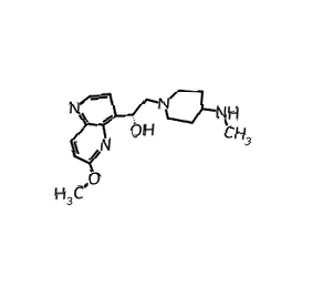 CNC1CCN(C[C@H](O)c2ccnc3ccc(OC)nc23)CC1